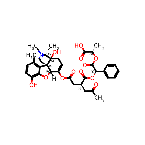 CC(=O)C[C@@H](CC(=O)OC1=CC[C@@]2(O)[C@@H](C)N(C)CC[C@@]23c2c(C)ccc(O)c2O[C@@H]13)C(=O)O[C@H](C(=O)O[C@@H](C)C(=O)O)c1ccccc1